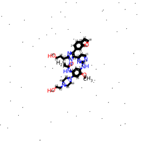 C=CC(=O)Nc1cc(Nc2nccc(-c3[nH]c(CCCO)nc3-c3ccc4ccoc4c3)n2)c(OC)cc1N1CCN(CCO)CC1